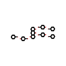 O=C(Oc1cccc2c(OC(=O)c3ccc(OCc4ccccc4)cc3)c3c(OC(=O)c4ccc(OCc5ccccc5)cc4)cccc3cc12)c1ccc(OCc2ccccc2)cc1